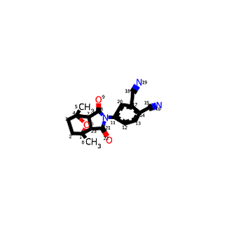 CC12CCC(C)(O1)C1C(=O)N(c3ccc(C#N)c(C#N)c3)C(=O)C12